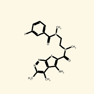 Cc1nnc2sc(C(=O)N(C)CCN(C)C(=O)c3cccc(F)c3)c(N)c2c1C